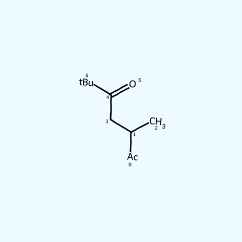 CC(=O)C(C)CC(=O)C(C)(C)C